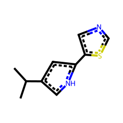 CC(C)c1c[nH]c(-c2cncs2)c1